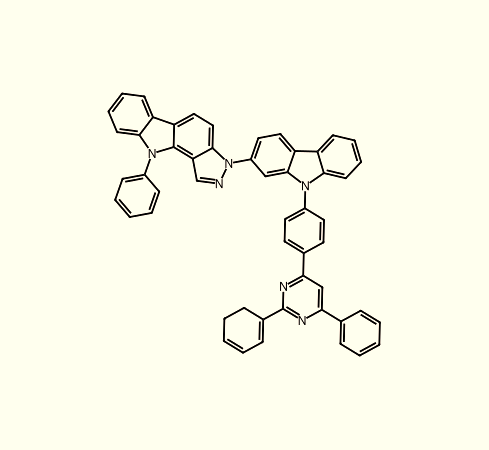 C1=CCCC(c2nc(-c3ccccc3)cc(-c3ccc(-n4c5ccccc5c5ccc(-n6ncc7c6ccc6c8ccccc8n(-c8ccccc8)c67)cc54)cc3)n2)=C1